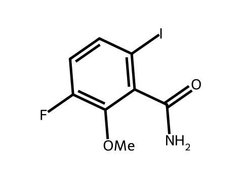 COc1c(F)ccc(I)c1C(N)=O